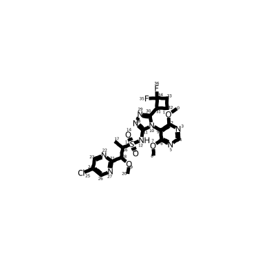 COc1ncnc(OC)c1-n1c(NS(=O)(=O)C(C)C(OC)c2ncc(Cl)cn2)nnc1C1CCC1(F)F